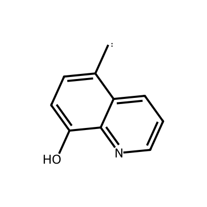 [CH]c1ccc(O)c2ncccc12